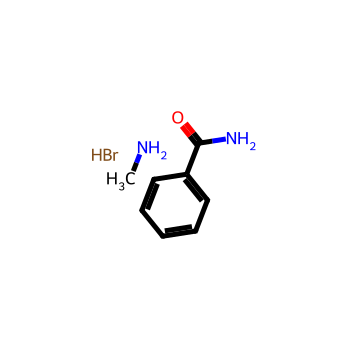 Br.CN.NC(=O)c1ccccc1